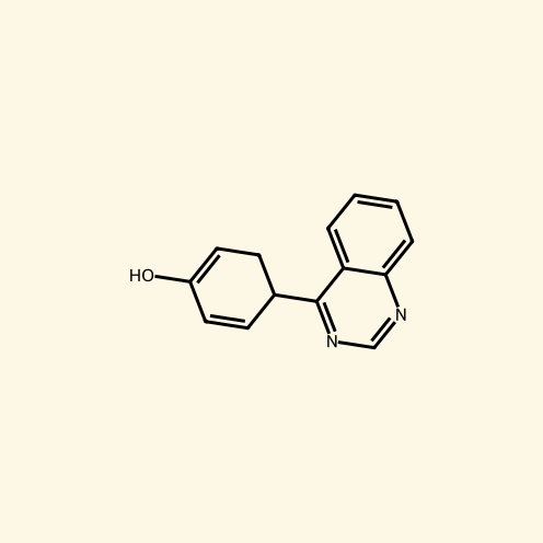 OC1=CCC(c2ncnc3ccccc23)C=C1